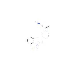 C=C(N1CCC[C@H](CCc2cccc(C)c2/C(N)=N\[S+](C)[O-])C1)C(C)(C)C#N